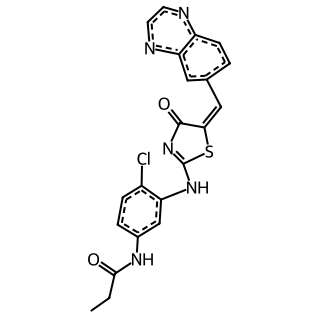 CCC(=O)Nc1ccc(Cl)c(NC2=NC(=O)C(=Cc3ccc4nccnc4c3)S2)c1